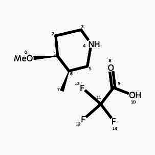 CO[C@H]1CCNC[C@H]1C.O=C(O)C(F)(F)F